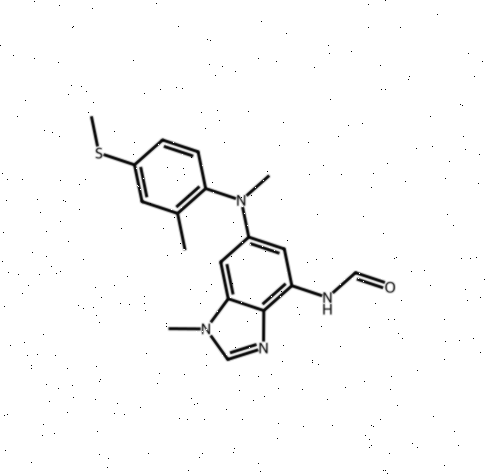 CSc1ccc(N(C)c2cc(NC=O)c3ncn(C)c3c2)c(C)c1